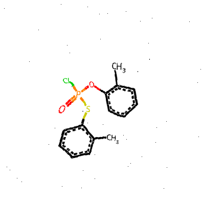 Cc1ccccc1OP(=O)(Cl)Sc1ccccc1C